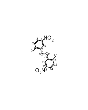 Cc1ccc([N+](=O)[O-])cc1SSc1cc([N+](=O)[O-])ccc1C